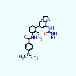 CCNC(=O)Nc1cc(C2CC=CC(NC(=O)c3ccc(N(C)C)cc3)=C2C)cn2ccnc12